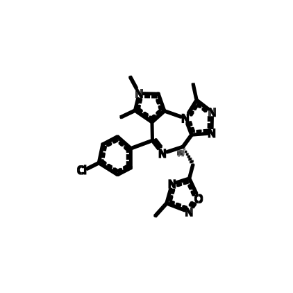 Cc1noc(C[C@@H]2N=C(c3ccc(Cl)cc3)c3c(cn(C)c3C)-n3c(C)nnc32)n1